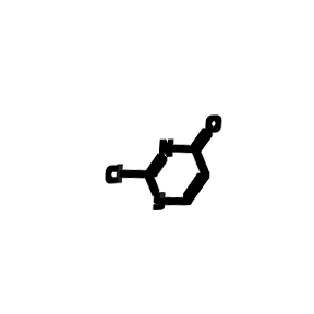 O=c1ccsc(Cl)n1